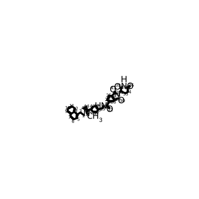 CN(CCc1cccc2ccccc12)C1(c2ccc(CNC(=O)c3ccc4c(c3)C(=O)N(C3CCC(=O)NC3=O)C4=O)cc2)CC1